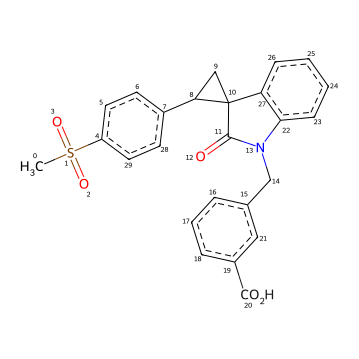 CS(=O)(=O)c1ccc(C2CC23C(=O)N(Cc2cccc(C(=O)O)c2)c2ccccc23)cc1